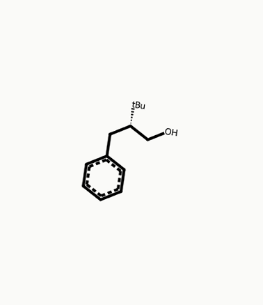 CC(C)(C)[C@H](CO)Cc1ccccc1